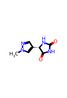 Cn1cc([C@@H]2NC(=O)NC2=O)cn1